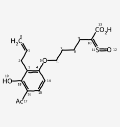 C=CCc1c(OCCCCC(=S=O)C(=O)O)ccc(C(C)=O)c1O